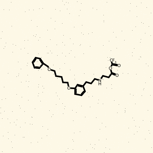 O=C(CCNCCCc1cccc(OCCCCCOCc2ccccc2)c1)OC(=O)C(F)(F)F